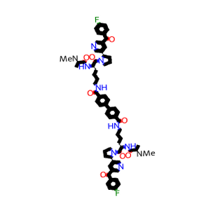 CN[C@@H](C)C(=O)N[C@@H](CCCCNC(=O)c1ccc(-c2ccc(C(=O)NCCCC[C@H](NC(=O)[C@H](C)NC)C(=O)N3CCC[C@H]3c3cncc(C(=O)c4ccc(F)cc4)c3)cc2)cc1)C(=O)N1CCC[C@H]1c1cncc(C(=O)c2ccc(F)cc2)c1